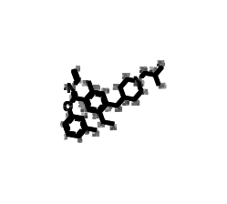 C=C/N=C(/Oc1cccc(C)c1)c1cc(CC)c(CC2CCN(CC(C)C)CC2)cc1C